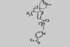 CC[S+]([O-])c1ccc(CNC(=O)c2cc3c(s2)C2(CCNCC2)OC[C@H]3C)nc1